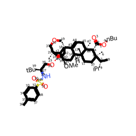 CCCCOC(=O)[C@@H]1[C@@](C)([C@H](C)C(C)C)CC[C@]2(C)[C@H]3CC[C@@H]4[C@@]5(COC[C@]4(C)[C@@H](OC[C@@H](NS(=O)(=O)c4ccc(C)cc4)C(C)(C)C)[C@H](OC)C5)C3=CC[C@@]12C